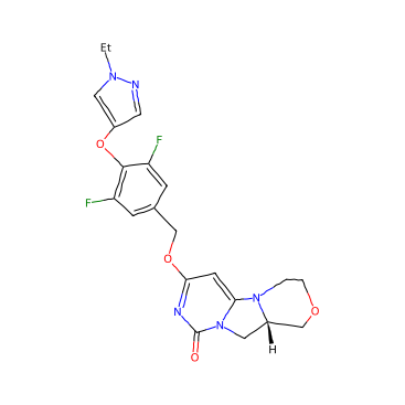 CCn1cc(Oc2c(F)cc(COc3cc4n(c(=O)n3)C[C@H]3COCCN43)cc2F)cn1